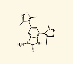 Cc1cnn(C)c1-c1cc(-c2c(C)noc2C)cc2c1[nH]c(=O)n2N